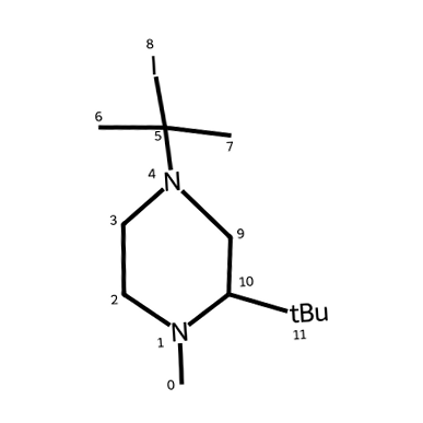 CN1CCN(C(C)(C)I)CC1C(C)(C)C